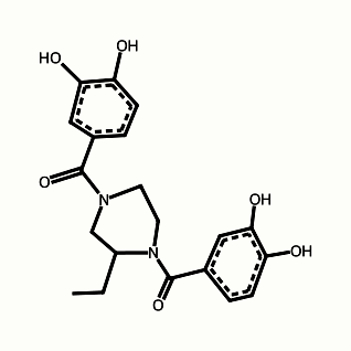 CCC1CN(C(=O)c2ccc(O)c(O)c2)CCN1C(=O)c1ccc(O)c(O)c1